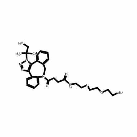 CC(C)(C)CCOCCOCCNC(=O)CCC(=O)N1Cc2ccccc2-c2c(nnn2C(C)(C)CO)-c2ccccc21